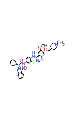 COc1cc2c(Nc3ccc(NC(=O)C(C4CCCCC4)N4Cc5ccccc5C4=O)cc3F)ncnc2cc1OCC1CCN(C)CC1